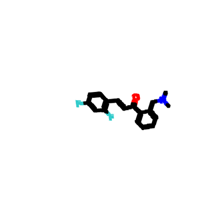 CN(C)Cc1ccccc1C(=O)C=Cc1ccc(F)cc1F